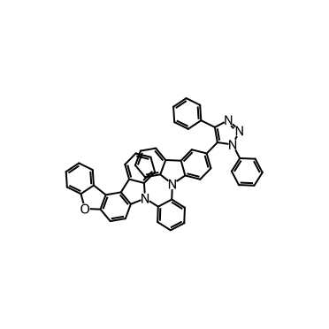 c1ccc(-c2nnn(-c3ccccc3)c2-c2ccc3c(c2)c2ccccc2n3-c2ccccc2-n2c3ccccc3c3c4c(ccc32)oc2ccccc24)cc1